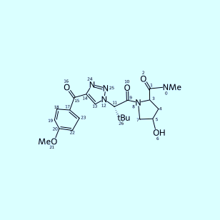 CNC(=O)C1CC(O)CN1C(=O)[C@@H](n1cc(C(=O)c2ccc(OC)cc2)nn1)C(C)(C)C